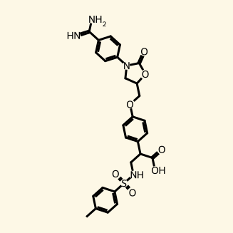 Cc1ccc(S(=O)(=O)NCC(C(=O)O)c2ccc(OCC3CN(c4ccc(C(=N)N)cc4)C(=O)O3)cc2)cc1